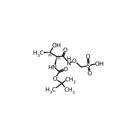 C[C@@H](O)[C@H](NC(=O)OC(C)(C)C)C(=O)NOCS(=O)(=O)O